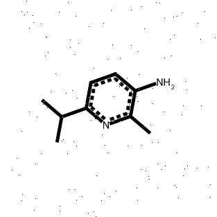 Cc1nc(C(C)C)ccc1N